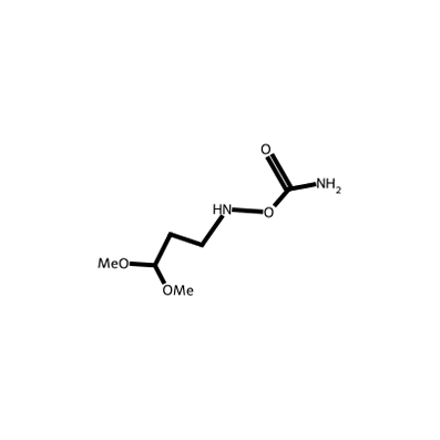 COC(CCNOC(N)=O)OC